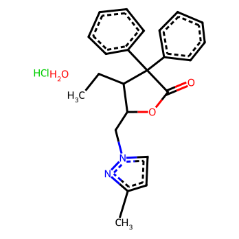 CCC1C(Cn2ccc(C)n2)OC(=O)C1(c1ccccc1)c1ccccc1.Cl.O